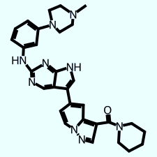 CN1CCN(c2cccc(Nc3ncc4c(-c5ccn6ncc(C(=O)N7CCCCC7)c6c5)c[nH]c4n3)c2)CC1